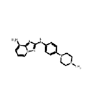 CN1CCN(c2ccc(Nc3nc4c(N)cccn4n3)cc2)CC1